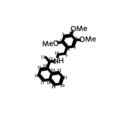 COc1cc(OC)c(OC)cc1CCNC(C)c1cccc2ccccc12